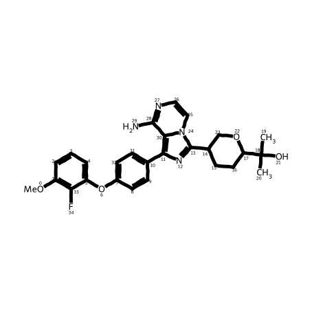 COc1cccc(Oc2ccc(-c3nc(C4CCC(C(C)(C)O)OC4)n4ccnc(N)c34)cc2)c1F